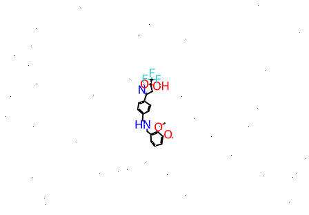 COc1cccc(CNCc2ccc(C3=NOC(O)(C(F)(F)F)C3)cc2)c1OC